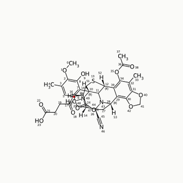 COc1c(C)cc2c(c1O)[C@@H]1C3[C@@H]4SC[C@H](NC(=O)CCC(=O)O)C(=O)OC[C@@H](c5c6c(c(C)c(OC(C)=O)c54)OCO6)N3[C@@H](C#N)[C@H](C2)N1C